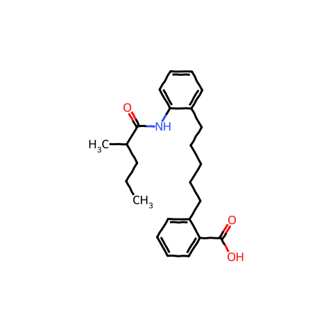 CCCC(C)C(=O)Nc1ccccc1CCCCCc1ccccc1C(=O)O